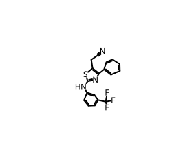 N#CCc1sc(Nc2cccc(C(F)(F)F)c2)nc1-c1ccccc1